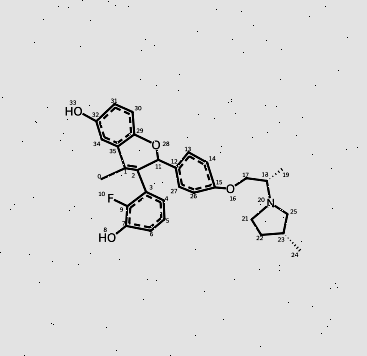 CC1=C(c2cccc(O)c2F)C(c2ccc(OC[C@H](C)N3CC[C@@H](C)C3)cc2)Oc2ccc(O)cc21